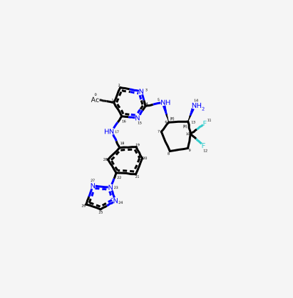 CC(=O)c1cnc(N[C@@H]2CCCC(F)(F)[C@@H]2N)nc1Nc1cccc(-n2nccn2)c1